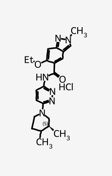 CCOc1cc2nn(C)cc2cc1C(=O)Nc1ccc(N2CCC(C)[C@H](C)C2)nn1.Cl